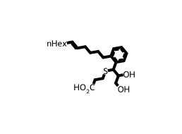 CCCCCCC=CCCCCc1ccccc1C(SCCC(=O)O)C(O)CO